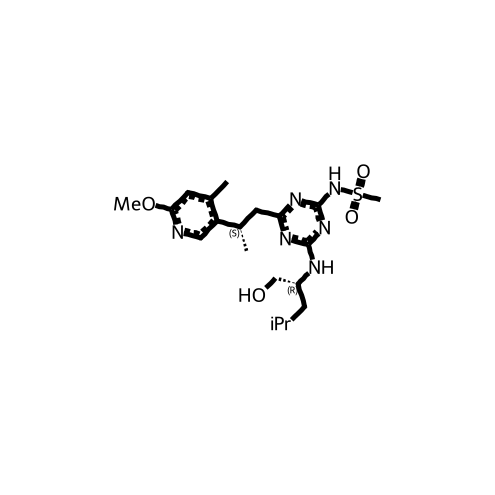 COc1cc(C)c([C@@H](C)Cc2nc(N[C@@H](CO)CC(C)C)nc(NS(C)(=O)=O)n2)cn1